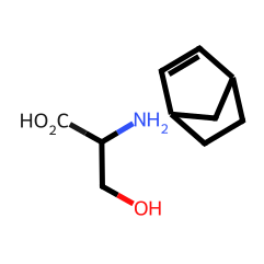 C1=CC2CCC1C2.NC(CO)C(=O)O